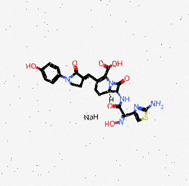 Nc1nc(/C(=N/O)C(=O)N[C@@H]2C(=O)N3C(C(=O)O)=C(C=C4CCN(c5ccc(O)cc5)C4=O)CC[C@H]23)cs1.[NaH]